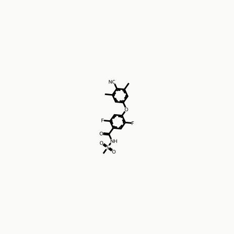 Cc1cc(Oc2cc(F)c(C(=O)NS(C)(=O)=O)cc2F)cc(C)c1C#N